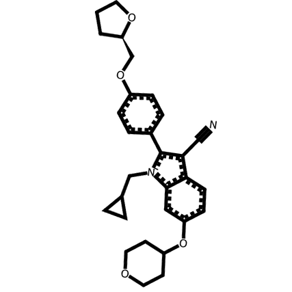 N#Cc1c(-c2ccc(OC[C@H]3CCCO3)cc2)n(CC2CC2)c2cc(OC3CCOCC3)ccc12